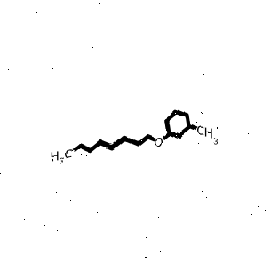 CCCCCCCCOC1CCCC(C)C1